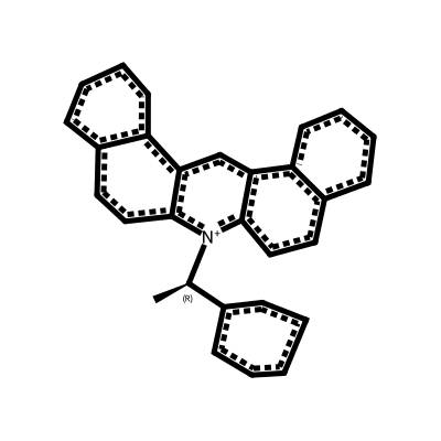 C[C@H](c1ccccc1)[n+]1c2ccc3ccccc3c2cc2c3ccccc3ccc21